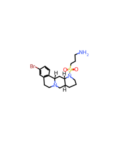 NCCCS(=O)(=O)N1CCC[C@@H]2CN3CCc4cc(Br)ccc4[C@@H]3C[C@@H]21